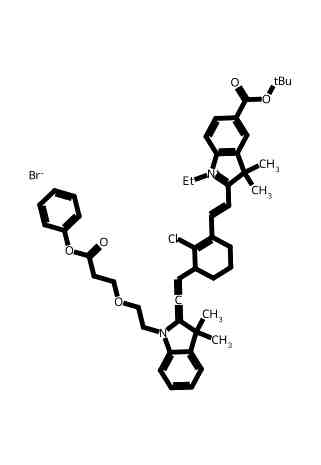 CC[N+]1=C(/C=C/C2=C(Cl)C(C=C=C3N(CCOCCC(=O)Oc4ccccc4)c4ccccc4C3(C)C)CCC2)C(C)(C)c2cc(C(=O)OC(C)(C)C)ccc21.[Br-]